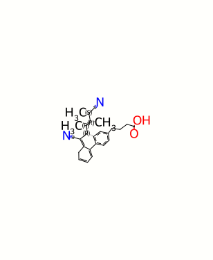 C[C@H]([C@@H](C)[C@H]1C(C#N)=C2CC=CC=C2c2ccc(CCCC(=O)O)cc21)[C@H](C)C#N